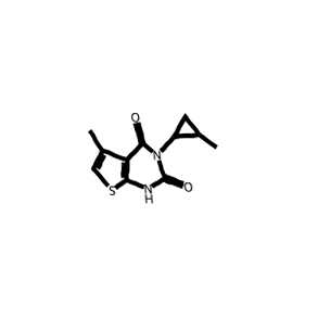 Cc1csc2[nH]c(=O)n(C3CC3C)c(=O)c12